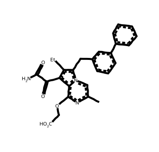 CCc1c(C(=O)C(N)=O)c2c(OCC(=O)O)nc(C)cn2c1Cc1cccc(-c2ccccc2)c1